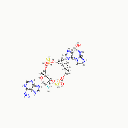 Nc1ncnc2c1ncn2[C@@H]1O[C@@H]2CO[P@](=O)(S)OC[C@@H]3[C@@H](CO[P@](=O)(S)O[C@H]2[C@H]1F)C[C@H]3n1cnc2c(O)nc3nccn3c21